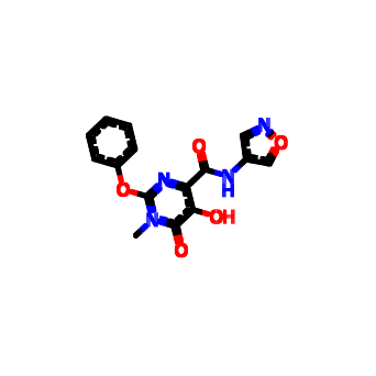 Cn1c(Oc2ccccc2)nc(C(=O)Nc2cnoc2)c(O)c1=O